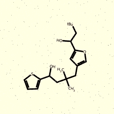 CC(C)(C)CC(O)c1cc(CC(C)(C)CC(O)c2cccs2)co1